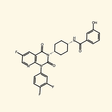 O=C(N[C@H]1CC[C@@H](n2c(=O)c3cc(F)cnc3n(-c3ccc(F)c(F)c3)c2=O)CC1)c1cccc(O)c1